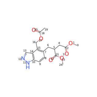 COC(=O)CC(Cc1ccc2[nH]ncc2c1COC(C)=O)C(=O)OC